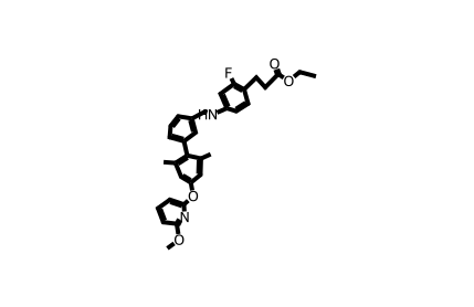 CCOC(=O)CCc1ccc(NCc2cccc(-c3c(C)cc(Oc4cccc(OC)n4)cc3C)c2)cc1F